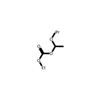 CCOC(=O)OC(C)OC(C)C